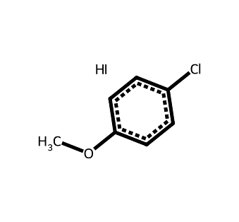 COc1ccc(Cl)cc1.I